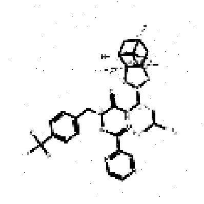 CC(C)C[C@H](NC(=O)[C@H](Cc1ccc(C(F)(F)F)cc1)NC(=O)c1cnccn1)B1O[C@@H]2C[C@@H]3C[C@@H](C3(C)C)[C@]2(C)O1